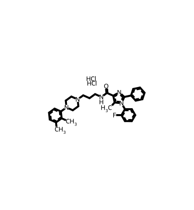 Cc1cccc(N2CCN(CCCNC(=O)c3nc(-c4ccccc4)n(-c4ccccc4F)c3C)CC2)c1C.Cl.Cl